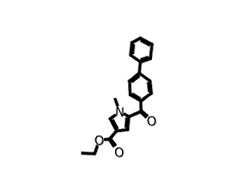 CCOC(=O)c1cc(C(=O)c2ccc(-c3ccccc3)cc2)n(C)c1